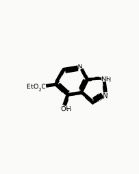 CCOC(=O)c1cnc2[nH]ncc2c1O